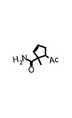 CC(=O)C1CC=CC1(C)C(N)=O